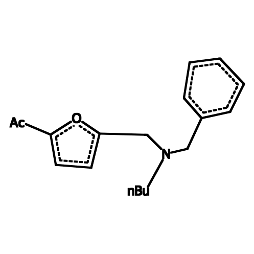 CCCCN(Cc1ccccc1)Cc1ccc(C(C)=O)o1